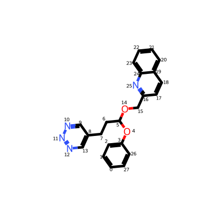 c1ccc(OC(CCc2cnnnc2)OCc2ccc3ccccc3n2)cc1